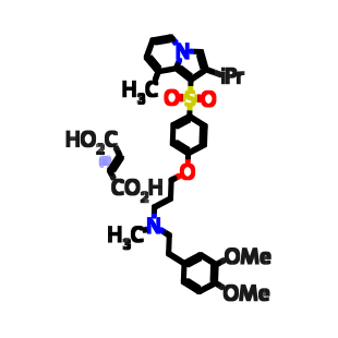 COc1ccc(CCN(C)CCCOc2ccc(S(=O)(=O)c3c(C(C)C)cn4cccc(C)c34)cc2)cc1OC.O=C(O)/C=C/C(=O)O